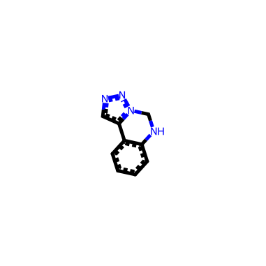 c1ccc2c(c1)NCn1nncc1-2